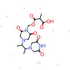 CC(C(=O)O)C(=O)OCN1C(=O)CN(C(C)C(C)N2CC(=O)NC(=O)C2)CC1=O